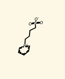 O=S(=O)([O-])CCCC[n+]1ccccc1